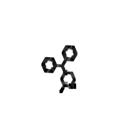 C[C@H]1CN(C(c2ccccc2)c2ccccc2)CCN1